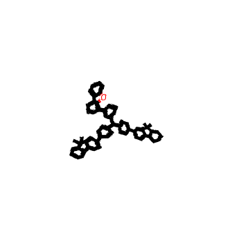 CC1(C)c2ccccc2-c2ccc(-c3ccc(C(c4ccc(-c5ccc6c(c5)C(C)(C)c5ccccc5-6)cc4)c4cccc(-c5cccc6c5oc5ccccc56)c4)cc3)cc21